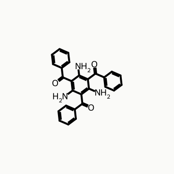 Nc1c(C(=O)c2ccccc2)c(N)c(C(=O)c2ccccc2)c(N)c1C(=O)c1ccccc1